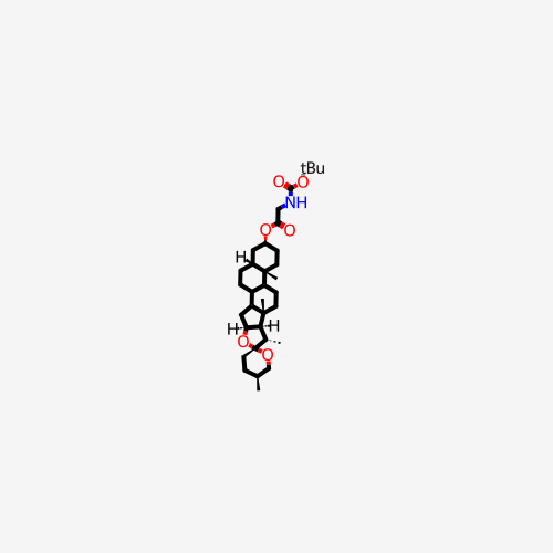 C[C@H]1CC[C@@]2(OC1)O[C@H]1CC3C4CC[C@@H]5C[C@@H](OC(=O)CNC(=O)OC(C)(C)C)CC[C@]5(C)C4CC[C@]3(C)[C@H]1[C@@H]2C